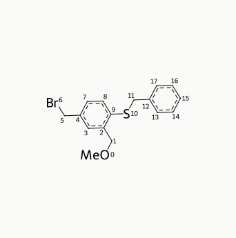 COCc1cc(CBr)ccc1SCc1ccccc1